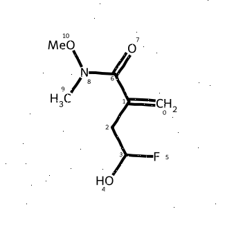 C=C(CC(O)F)C(=O)N(C)OC